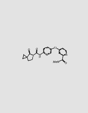 CNC(=O)c1cc(Oc2ccc(NC(=O)N3CCC4(CC4)C3=O)nc2)ccn1